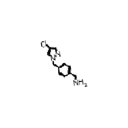 NCc1ccc(Cn2cc(Cl)cn2)cc1